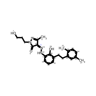 CC1=NN(CCCO)C(=O)/C1=N\Nc1cccc(CCc2cc(C)ccc2C)c1O